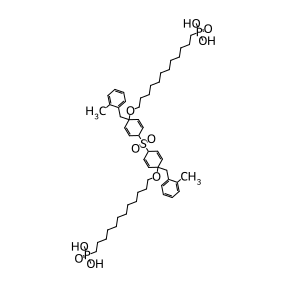 Cc1ccccc1CC1(OCCCCCCCCCCCCP(=O)(O)O)C=CC(S(=O)(=O)C2C=CC(Cc3ccccc3C)(OCCCCCCCCCCCCP(=O)(O)O)C=C2)C=C1